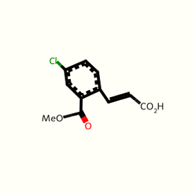 COC(=O)c1cc(Cl)ccc1C=CC(=O)O